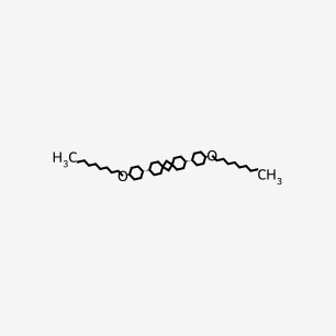 CCCCCCCCCO[C@H]1CC[C@H](C2CCC3(CC2)CC2(CCC([C@H]4CC[C@H](OCCCCCCCCC)CC4)CC2)C3)CC1